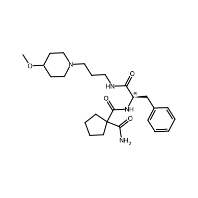 COC1CCN(CCCNC(=O)[C@@H](Cc2ccccc2)NC(=O)C2(C(N)=O)CCCC2)CC1